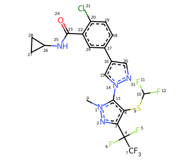 Cn1nc(C(F)(F)C(F)(F)F)c(SC(F)F)c1-n1cc(-c2ccc(Cl)c(C(=O)NC3CC3)c2)cn1